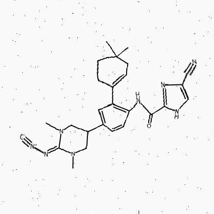 [C-]#[N+]N=C1N(C)CC(c2ccc(NC(=O)c3nc(C#N)c[nH]3)c(C3=CCC(C)(C)CC3)c2)CN1C